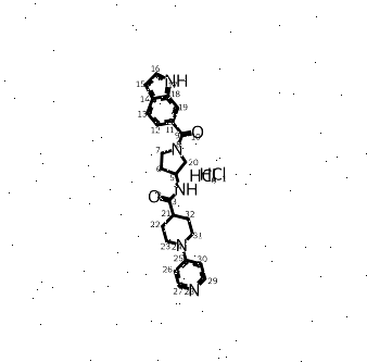 Cl.Cl.O=C(NC1CCN(C(=O)c2ccc3cc[nH]c3c2)C1)C1CCN(c2ccncc2)CC1